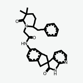 CC1(C)CCC(Cc2ccccc2)N(CC(=O)Nc2ccc3c(c2)CC2(C3)C(=O)Nc3ncccc32)C1=O